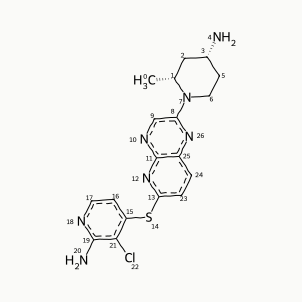 C[C@@H]1C[C@H](N)CCN1c1cnc2nc(Sc3ccnc(N)c3Cl)ccc2n1